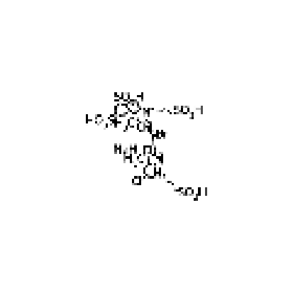 CC1(C)C(=CC=C(Br)C=CC2N(CCCCS(=O)(=O)O)c3ccc4c(S(=O)(=O)O)cc(S(=O)(=O)O)cc4c3C2(C)C)N=C2C1=CC(Cl)=CN2CCCCS(=O)(=O)O.[NaH]